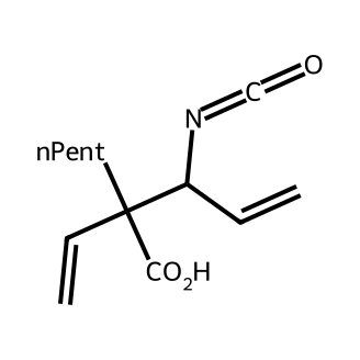 C=CC(N=C=O)C(C=C)(CCCCC)C(=O)O